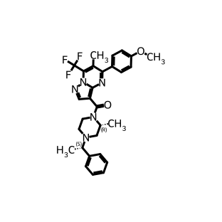 COc1ccc(-c2nc3c(C(=O)N4CCN([C@@H](C)c5ccccc5)C[C@H]4C)cnn3c(C(F)(F)F)c2C)cc1